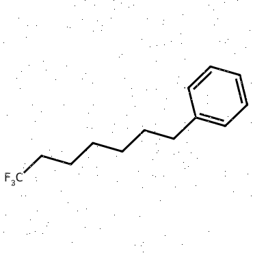 FC(F)(F)CCCCCCc1[c]cccc1